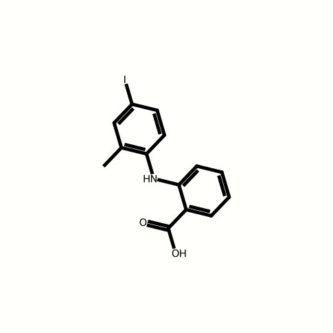 Cc1cc(I)ccc1Nc1ccccc1C(=O)O